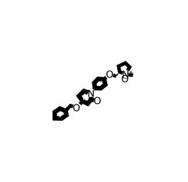 C[N+]1([O-])CCC[C@H]1COc1ccc(-n2ccc(OCc3ccccc3)cc2=O)cc1